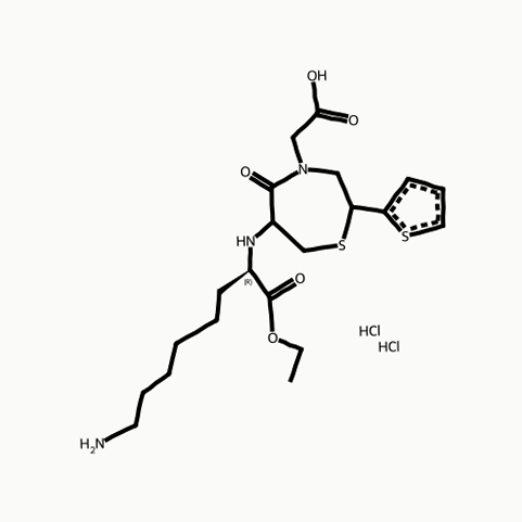 CCOC(=O)[C@@H](CCCCCCN)NC1CSC(c2cccs2)CN(CC(=O)O)C1=O.Cl.Cl